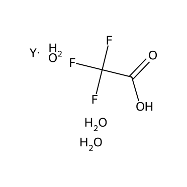 O.O.O.O=C(O)C(F)(F)F.[Y]